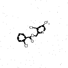 O=C(OCc1ncc(C(F)(F)F)cc1Cl)c1ccccc1Cl